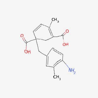 CC1=C(C(=O)O)CC(Cc2ccc(N)c(C)c2)(C(=O)O)C=C1